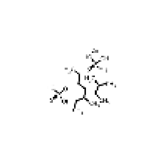 CCC(C)C.CCCCC(C)CC.OP(O)(O)=S.OP(O)(O)=S.[Zn]